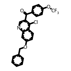 O=C(c1ccc(OC(F)(F)F)cc1)c1cnc2cc(OCc3ccccc3)ccc2c1Cl